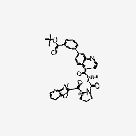 CC(C)(C)OC(=O)c1cccc(-c2ccc3c(C(=O)NCC(=O)N4CCC[C@H]4C(=O)c4nc5ccccc5o4)ccnc3c2)c1